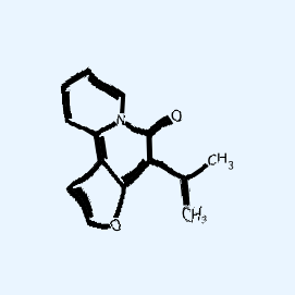 CC(C)c1c(=O)n2ccccc2c2ccoc12